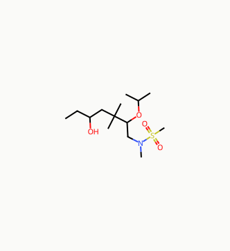 CCC(O)CC(C)(C)C(CN(C)S(C)(=O)=O)OC(C)C